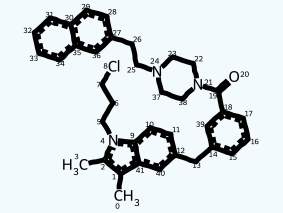 Cc1c(C)n(CCCCl)c2ccc(Cc3cccc(C(=O)N4CCN(CCc5ccc6ccccc6c5)CC4)c3)cc12